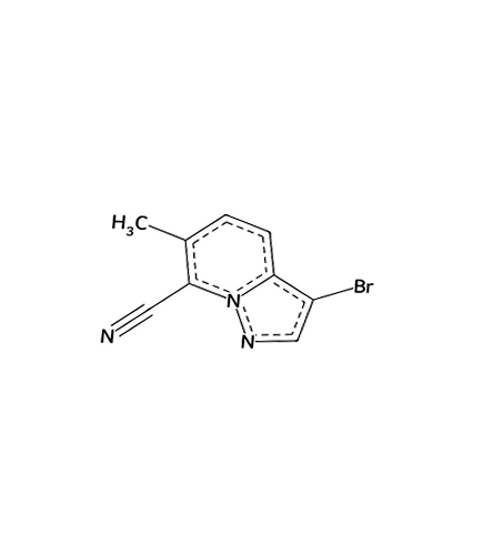 Cc1ccc2c(Br)cnn2c1C#N